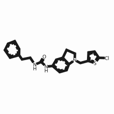 O=C(NCCc1ccccc1)Nc1ccc2c(c1)CCN2Cc1ccc(Cl)s1